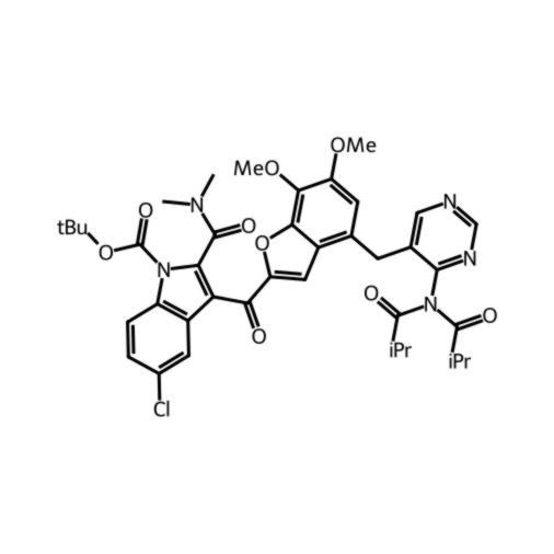 COc1cc(Cc2cncnc2N(C(=O)C(C)C)C(=O)C(C)C)c2cc(C(=O)c3c(C(=O)N(C)C)n(C(=O)OC(C)(C)C)c4ccc(Cl)cc34)oc2c1OC